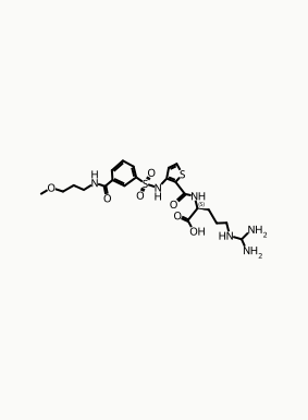 COCCCNC(=O)c1cccc(S(=O)(=O)Nc2ccsc2C(=O)N[C@@H](CCCNC(N)N)C(=O)O)c1